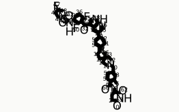 O=C1CCC(N2Cc3cc(CN4CCC5(CC4)CCN(c4ccc(-c6cnc7[nH]cc(C(=O)c8c(F)ccc(NS(=O)(=O)N9CC[C@@H](F)C9)c8F)c7c6)cc4)C5)ccc3C2=O)C(=O)N1